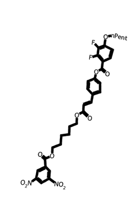 CCCCCOc1ccc(C(=O)Oc2ccc(/C=C/C(=O)OCCCCCCOC(=O)c3cc([N+](=O)[O-])cc([N+](=O)[O-])c3)cc2)c(F)c1F